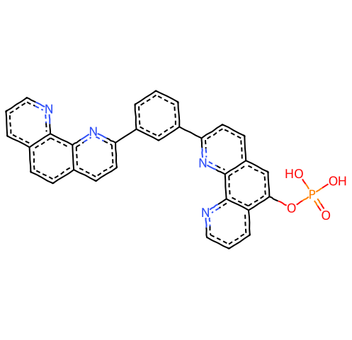 O=P(O)(O)Oc1cc2ccc(-c3cccc(-c4ccc5ccc6cccnc6c5n4)c3)nc2c2ncccc12